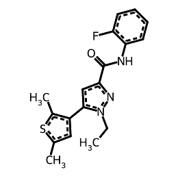 CCn1nc(C(=O)Nc2ccccc2F)cc1-c1cc(C)sc1C